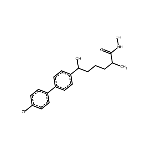 CC(CCCC(O)c1ccc(-c2ccc(Cl)cc2)cc1)C(=O)NO